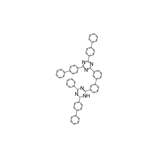 c1ccc(C2=NC(c3ccc(-c4ccccc4)cc3)NC(c3cccc(-c4cccc(-c5nc(-c6ccc(-c7ccccc7)cc6)nc(-c6ccc(-c7ccccc7)cc6)n5)c4)c3)=N2)cc1